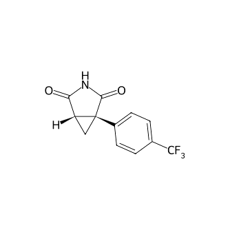 O=C1NC(=O)[C@]2(c3ccc(C(F)(F)F)cc3)C[C@H]12